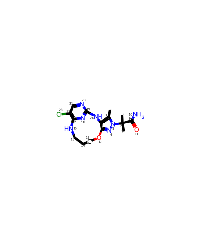 Cc1c2c(nn1C(C)(C)C(N)=O)OCCCNc1nc(ncc1Cl)N2